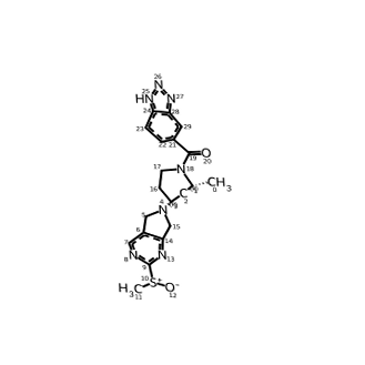 C[C@@H]1C[C@H](N2Cc3cnc([S+](C)[O-])nc3C2)CCN1C(=O)c1ccc2[nH]nnc2c1